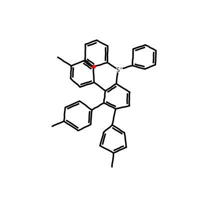 Cc1ccc(-c2ccc([S+](c3ccccc3)c3ccccc3)c(-c3ccc(C)cc3)c2-c2ccc(C)cc2)cc1